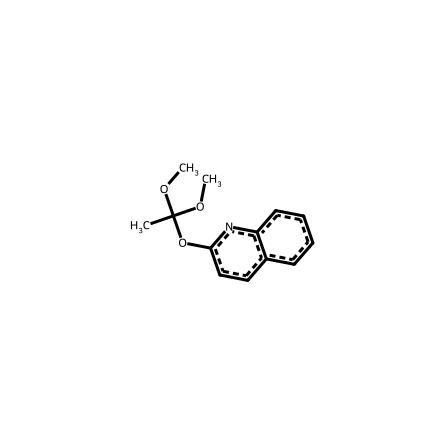 COC(C)(OC)Oc1ccc2ccccc2n1